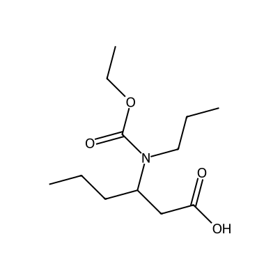 CCCC(CC(=O)O)N(CCC)C(=O)OCC